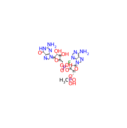 CP(=O)(O)OC[C@H]1O[C@@H](n2cnc3c(N)ncnc32)C(F)[C@H]1OP(=O)(O)OC[C@H]1O[C@@H](n2cnc3c(=O)[nH]c(N)nc32)C(O)[C@H]1O